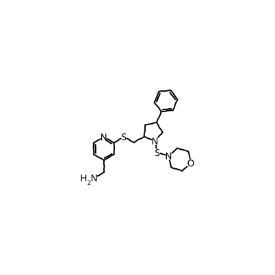 NCc1ccnc(SCC2CC(c3ccccc3)CN2SN2CCOCC2)c1